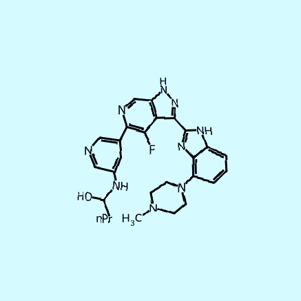 CCCC(O)Nc1cncc(-c2ncc3[nH]nc(-c4nc5c(N6CCN(C)CC6)cccc5[nH]4)c3c2F)c1